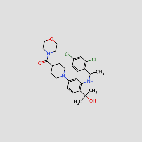 C[C@@H](Nc1cc(N2CCC(C(=O)N3CCOCC3)CC2)ccc1C(C)(C)O)c1ccc(Cl)cc1Cl